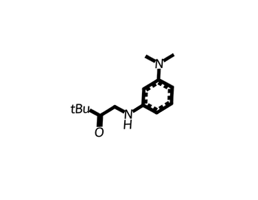 CN(C)c1cccc(NCC(=O)C(C)(C)C)c1